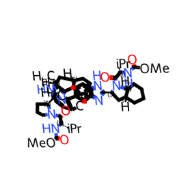 COC(=O)N[C@H](C(=O)N1CCC[C@H]1c1nc(C2=CC3=CC[C@@H]2C[C@@H](C)[C@@H]2C=CC(=C(c4ccc5[nH]c([C@@H]6C[C@@H]7CCCC[C@@H]7N6C(=O)[C@@H](NC(=O)OC)C(C)C)nc5c4)C2)CC3)c[nH]1)C(C)C